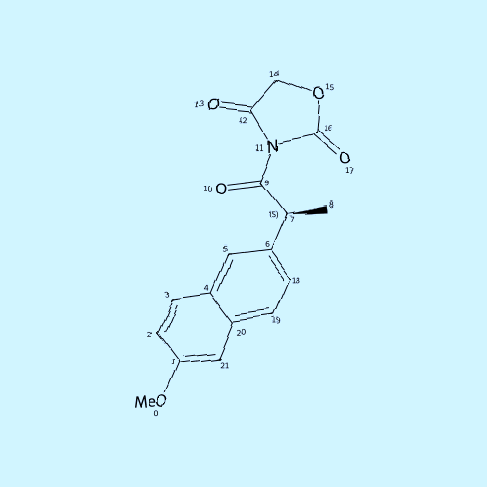 COc1ccc2cc([C@H](C)C(=O)N3C(=O)COC3=O)ccc2c1